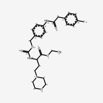 N#CCOC(=O)C(CCN1CCOCC1)NC(=O)OCc1ccc(NC(=O)Cc2ccc(F)cc2)cc1